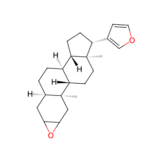 C[C@]12CC3OC3C[C@H]1CC[C@@H]1[C@@H]2CC[C@]2(C)[C@@H](c3ccoc3)CC[C@@H]12